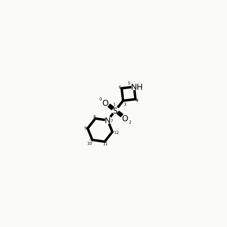 O=S(=O)(C1CNC1)N1CC[CH]CC1